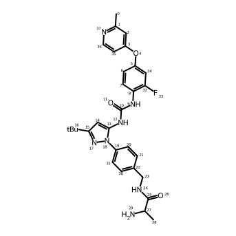 Cc1cc(Oc2ccc(NC(=O)Nc3cc(C(C)(C)C)nn3-c3ccc(CNC(=O)C(C)N)cc3)c(F)c2)ccn1